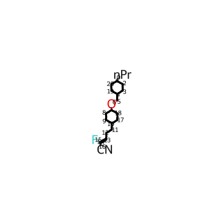 CCCC1CCC(COC2CCC(CCC=C(F)C#N)CC2)CC1